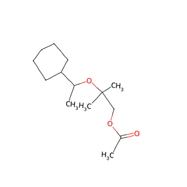 CC(=O)OCC(C)(C)OC(C)C1CCCCC1